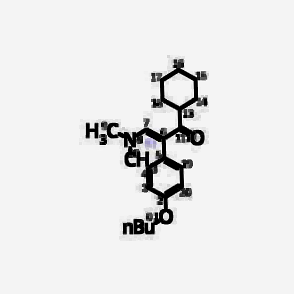 CCCCOc1ccc(/C(=C\N(C)C)C(=O)C2CCCCC2)cc1